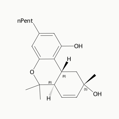 CCCCCc1cc(O)c2c(c1)OC(C)(C)[C@@H]1C=C[C@@](C)(O)C[C@@H]21